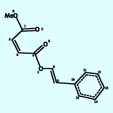 COC(=O)/C=C\C(=O)OC=Cc1ccccc1